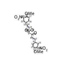 COc1ccc(/C=C/C(=O)CS(=O)(=O)/C=C/c2ccc(OC)c([N+](=O)[O-])c2)cc1[N+](=O)[O-]